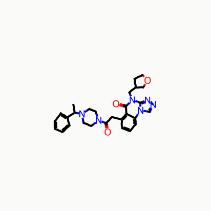 CC(c1ccccc1)N1CCN(C(=O)Cc2cccc3c2c(=O)n(CC2CCOC2)c2nncn32)CC1